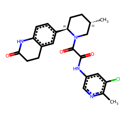 Cc1ncc(NC(=O)C(=O)N2C[C@@H](C)CC[C@@H]2c2ccc3c(c2)CCC(=O)N3)cc1Cl